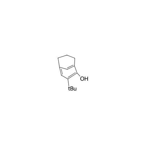 CC(C)(C)c1cc2cc(c1O)CCC2